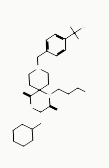 CCCCN1C(=O)[C@H](CC2CCCCC2)NC(=O)C12CCN(Cc1ccc(C(C)(C)N)cc1)CC2